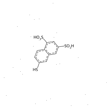 O=S(=O)(O)c1cc(S(=O)(=O)O)c2ccc(S)cc2c1